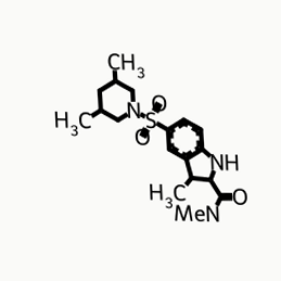 CNC(=O)C1Nc2ccc(S(=O)(=O)N3CC(C)CC(C)C3)cc2C1C